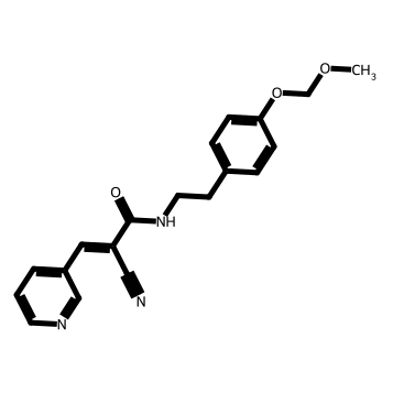 COCOc1ccc(CCNC(=O)/C(C#N)=C/c2cccnc2)cc1